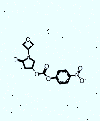 O=C(Oc1ccc([N+](=O)[O-])cc1)O[C@@H]1CC(=O)N(C2COC2)C1